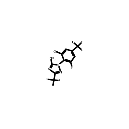 Nc1nc(C(F)(F)F)nn1-c1c(F)cc(C(F)(F)F)cc1Cl